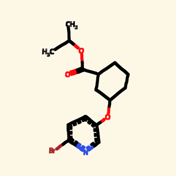 CC(C)OC(=O)C1CCCC(Oc2ccc(Br)nc2)C1